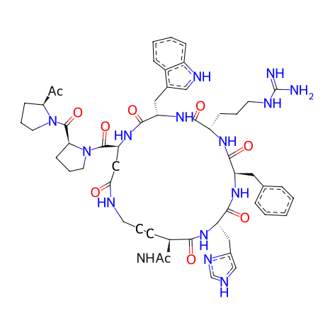 CC(=O)N[C@H]1CCCNC(=O)C[C@@H](C(=O)N2CCC[C@H]2C(=O)N2CCC[C@H]2C(C)=O)NC(=O)[C@H](Cc2c[nH]c3ccccc23)NC(=O)[C@H](CCCNC(=N)N)NC(=O)[C@@H](Cc2ccccc2)NC(=O)[C@H](Cc2c[nH]cn2)NC1=O